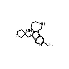 Cc1cc2c3c(n(CC4(O)CCOC4)c2cn1)CCCNC3